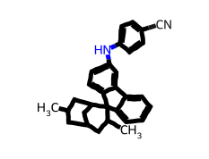 CC1CC2CC(C)C3(c4ccccc4-c4cc(Nc5ccc(C#N)cc5)ccc43)C(C1)C2